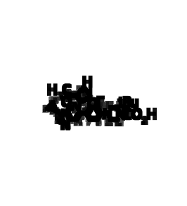 C[C@@H](Oc1nc(-c2ccc(N3CCN(C(=O)O)C(C(C)(C)C)C3)c(F)c2)cc2ncn(C3CC3)c12)[C@H]1CNC(=O)C1